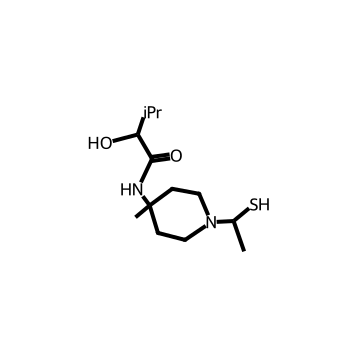 CC(C)C(O)C(=O)NC1(C)CCN(C(C)S)CC1